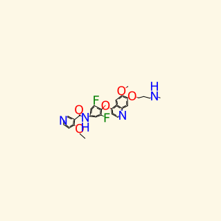 CCOc1ccncc1C(=O)Nc1cc(F)c(Oc2ccnc3cc(OCCCNC)c(OC)cc23)c(F)c1